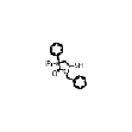 CC(C)[C@@](CCS)(C(=O)OCc1ccccc1)c1ccccc1